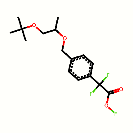 CC(COC(C)(C)C)OCc1ccc(C(F)(F)C(=O)OF)cc1